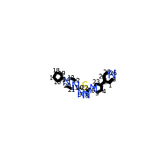 c1cc(C2CCN(c3nnc(N4CCN(C5CCCC5)CC4)s3)C2)ccn1